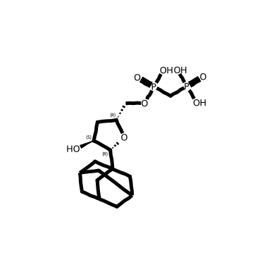 O=P(O)(O)CP(=O)(O)OC[C@H]1C[C@H](O)[C@@H](C23CC4CC(CC(C4)C2)C3)O1